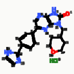 Cl.O=c1[nH]c2ncc(-c3ccc(-c4ncc[nH]4)cc3)nc2n1CC1CCOCC1